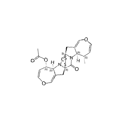 CC(=O)O[C@H]1C=COC=C2C[C@@]34SS[C@]5(CC6=COC=C[C@H](C)[C@H]6N5C3=O)CN4[C@@H]21